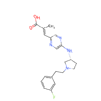 C/C(=C\c1cnc(N[C@@H]2CCN(CCc3cccc(F)c3)C2)cn1)C(=O)O